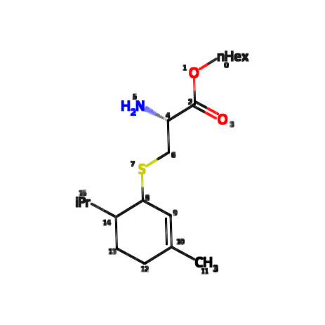 CCCCCCOC(=O)[C@@H](N)CSC1C=C(C)CCC1C(C)C